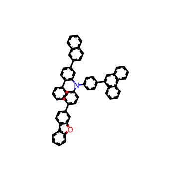 c1ccc(-c2ccc(-c3ccc4ccccc4c3)cc2N(c2ccc(-c3ccc4c(c3)oc3ccccc34)cc2)c2ccc(-c3cc4ccccc4c4ccccc34)cc2)cc1